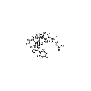 CC(C)CCC[C@@H](C)[C@H]1CC[C@H]2C3=CC=C4CCCC(OC(=O)c5ccccc5)[C@]4(C)[C@H]3CC[C@]12C